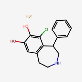 Br.Oc1cc2c(c(Cl)c1O)C(c1ccccc1)CNCC2